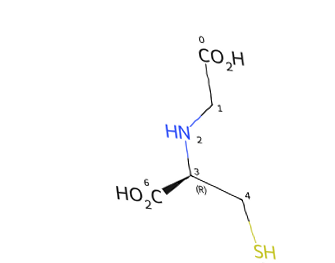 O=C(O)CN[C@@H](CS)C(=O)O